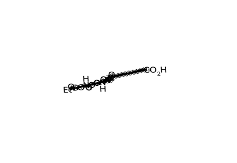 CCC(=O)COCCOCCNC(=O)COCCOCCNC(=O)CN1CCN(C(=O)CCCCCCCCCCCCCCCCCCC(=O)O)CC1